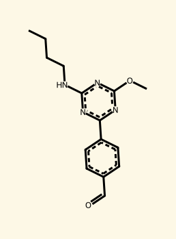 CCCCNc1nc(OC)nc(-c2ccc(C=O)cc2)n1